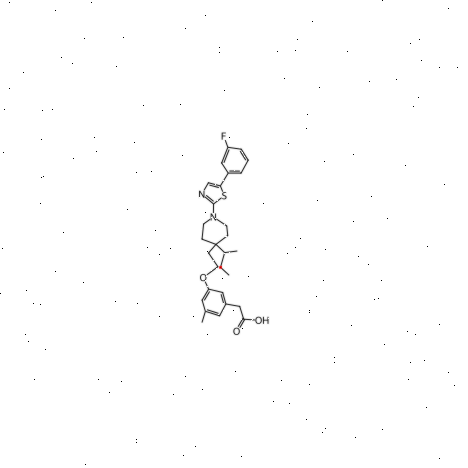 CCC(C)C1(CCOc2cc(C)cc(CC(=O)O)c2)CCN(c2ncc(-c3cccc(F)c3)s2)CC1